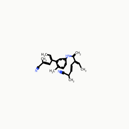 C=C(Nc1ccc(C)c(C(/C=C(\C)C#N)=C/C)c1)C(/C=C/C(C)C#N)=C/C